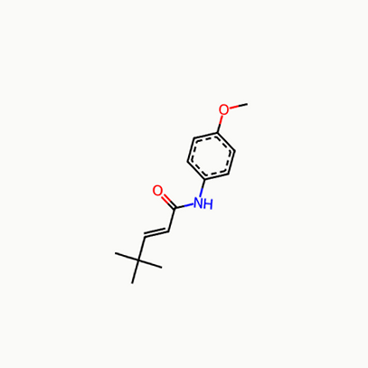 COc1ccc(NC(=O)/C=C/C(C)(C)C)cc1